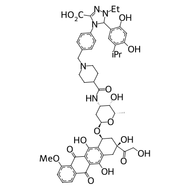 CCN1N=C(C(=O)O)N(c2ccc(CN3CCC(C(=O)N[C@H]4C[C@H](O[C@H]5C[C@](O)(C(=O)CO)Cc6c(O)c7c(c(O)c65)C(=O)c5c(OC)cccc5C7=O)O[C@@H](C)[C@H]4O)CC3)cc2)C1c1cc(C(C)C)c(O)cc1O